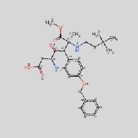 COC(=O)[C@@](C)(NCCC(C)(C)C)C(C(=O)[C@@H](N)CC(=O)O)c1ccc(OCc2ccccc2)cc1